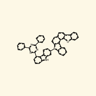 c1ccc(-c2nc(-c3ccccc3)nc(-c3cccc4[nH]c5cc(-n6c7ccccc7c7c8c(ccc9c%10ccccc%10oc98)ccc76)ccc5c34)n2)cc1